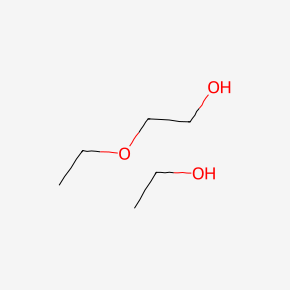 CCO.CCOCCO